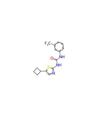 O=C(Nc1cccc(C(F)(F)F)c1)Nc1ncc(C2CCC2)s1